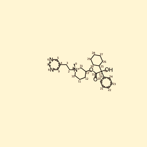 C[N@+]1(CCc2cncnc2)CCCC(OC(=O)C(O)(c2ccccc2)C2CCCCC2)C1